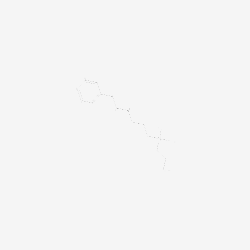 CCCCCCCCCCCC[N+](C)([O-])CCCCCCc1ccccc1